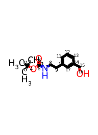 CC(C)(C)OC(=O)NCCc1cccc(CO)c1